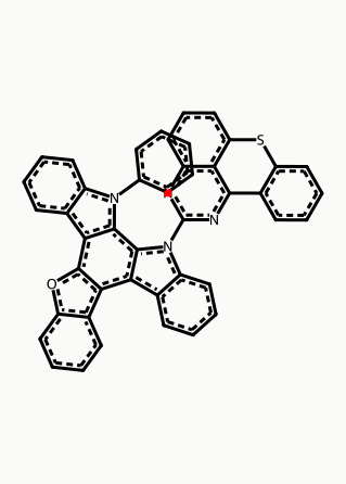 c1ccc(-n2c3ccccc3c3c4oc5ccccc5c4c4c5ccccc5n(-c5nc6c7c(cccc7n5)Sc5ccccc5-6)c4c32)cc1